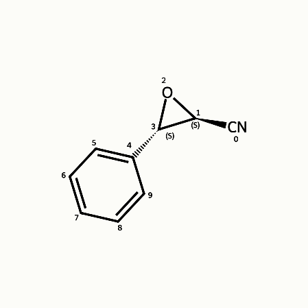 N#C[C@@H]1O[C@H]1c1ccccc1